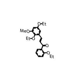 CCOc1cc(C=CC(=O)c2ccccc2OCC)c(OCC)c(OC)c1